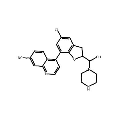 N#Cc1ccc2c(-c3cc(Cl)cc4c3OC(C(O)N3CCNCC3)C4)ccnc2c1